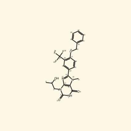 CC(O)Cn1c(=O)[nH]c(=O)c2c1nc(-c1ccc(OCc3ccccc3)c(C(F)(F)F)c1)n2C